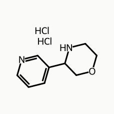 Cl.Cl.c1cncc(C2COCCN2)c1